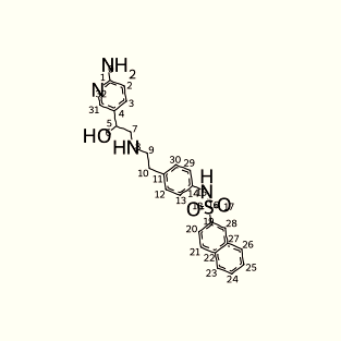 Nc1ccc(C(O)CNCCc2ccc(NS(=O)(=O)c3ccc4ccccc4c3)cc2)cn1